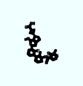 COc1nc(-c2cccc(-c3cccc(NC(=O)c4ccnn(C)c4=O)c3C)c2Cl)cc2c1[C@H](N1CC(C(=O)O)C1)CC2